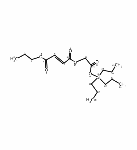 CCCOC(=O)C=CC(=O)OCC(=O)O[Si](CCC)(CCC)CCC